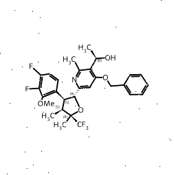 COc1c([C@H]2[C@H](c3cc(OCc4ccccc4)c([C@@H](C)O)c(C)n3)O[C@@](C)(C(F)(F)F)[C@H]2C)ccc(F)c1F